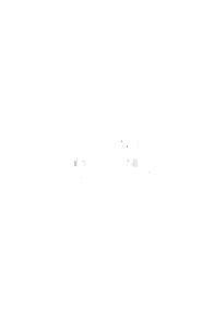 CC(C)N.NC(=O)O